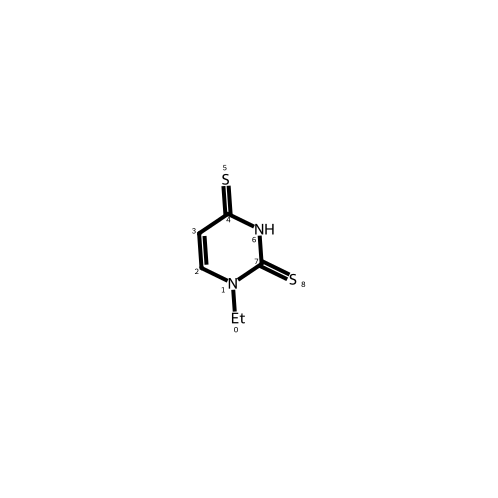 CCn1ccc(=S)[nH]c1=S